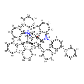 c1ccc(-c2ccc(-n3c4ccccc4c4c(-n5c6ccccc6c6cccc([Si](c7ccccc7)(c7ccccc7)c7ccccc7)c65)ccc(-c5ccccc5)c43)cc2)cc1